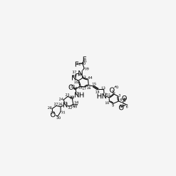 COc1cc(S(C)(=O)=O)ccc1NCC#Cc1cc(C(=O)N[C@H]2CCN(C3CCOCC3)C[C@@H]2C)c2ncn(CC(F)F)c2c1